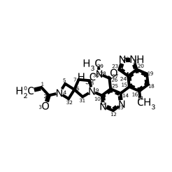 C=CC(=O)N1CC2(CCN(c3ncnc(-c4c(C)ccc5[nH]ncc45)c3C(=O)N(C)C)C2)C1